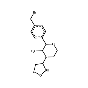 FC(F)(F)C1C(c2ccc(CBr)cc2)OCCN1C1BOOC1